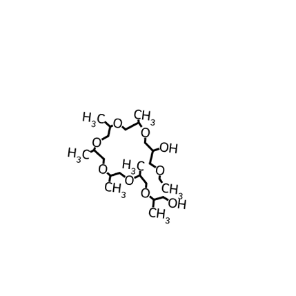 CCOCC(O)COC(C)COC(C)COC(C)COC(C)COC(C)COC(C)CO